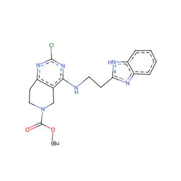 CC(C)(C)OC(=O)N1CCc2nc(Cl)nc(NCCc3nc4ccccc4[nH]3)c2C1